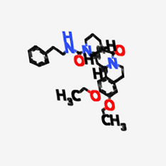 CCOc1cc2c(cc1OCC)[C@H]1C[C@H]3[C@H](CCCN3C(=O)NCCc3ccccc3)C(=O)N1CC2